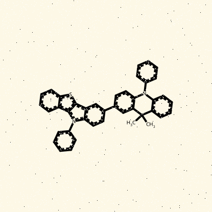 CC1(C)c2ccccc2N(c2ccccc2)c2ccc(-c3ccc4c(c3)c3sc5ccccc5c3n4-c3ccccc3)cc21